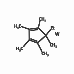 [CH2]CC1(C)C(C)=C(C)C(C)=C1C.[W]